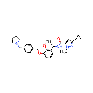 COc1c(CNC(=O)c2cc(C3CC3)nn2C)cccc1OCc1ccc(CN2CCCC2)cc1